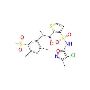 Cc1cc(C)c(S(C)(=O)=O)cc1C(C)C(=O)c1sccc1S(=O)(=O)Nc1onc(C)c1Cl